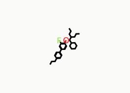 CCCc1ccc(-c2ccc(OC(C(CCC)CCC)C3CCCCC3)c(F)c2)cc1